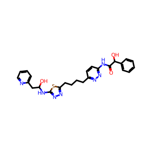 O=C(Nc1ccc(CCCCc2nnc(NC(O)Cc3ccccn3)s2)nn1)C(O)c1ccccc1